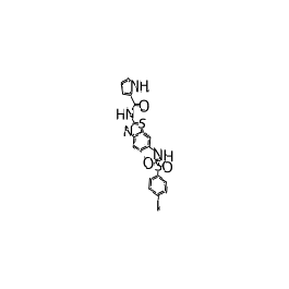 O=C(Nc1nc2ccc(NS(=O)(=O)c3ccc(I)cc3)cc2s1)c1ccc[nH]1